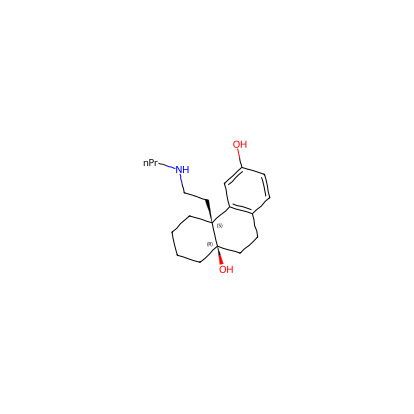 CCCNCC[C@]12CCCC[C@@]1(O)CCc1ccc(O)cc12